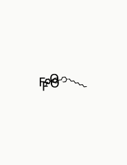 CCCCCCCCC[C@H]1CC[C@H]([C@H]2CO[C@H](c3ccc(F)c(F)c3)OC2)CC1